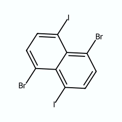 Brc1ccc(I)c2c(Br)ccc(I)c12